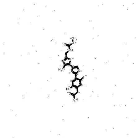 COC(=O)NCc1nc(C)c(-c2csc(-c3cc(O)c(CC(=O)O)cc3F)n2)s1